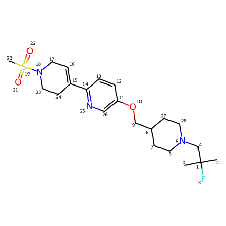 CC(C)(F)CN1CCC(COc2ccc(C3=CCN(S(C)(=O)=O)CC3)nc2)CC1